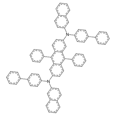 c1ccc(-c2ccc(N(c3ccc4ccccc4c3)c3ccc4c(-c5ccccc5)c5cc(N(c6ccc(-c7ccccc7)cc6)c6ccc7ccccc7c6)ccc5c(-c5ccccc5)c4c3)cc2)cc1